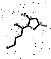 [3H][C@H]1C[C@H](C)[C@@H]([C@H](S)CCCBr)O1